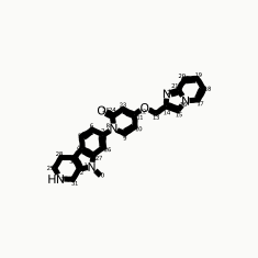 Cn1c2c(c3ccc(-n4ccc(OCc5cn6ccccc6n5)cc4=O)cc31)CCNC2